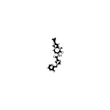 CN1C(=O)[C@@H](NC(=O)c2ncn(Cc3ncccc3F)n2)CCn2nc(C3CC3)cc21